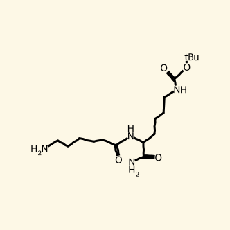 CC(C)(C)OC(=O)NCCCCC(NC(=O)CCCCCN)C(N)=O